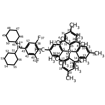 Cc1cc(C)c([B-](c2c(C)cc(C)cc2C)(c2c(C)cc(C)cc2C)c2c(C)cc(C)cc2C)c(C)c1.Fc1cc(F)cc([PH+](C2CCCCC2)C2CCCCC2)c1